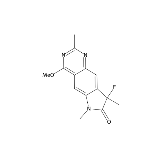 COc1nc(C)nc2cc3c(cc12)N(C)C(=O)C3(C)F